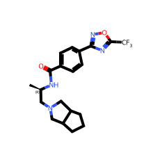 C[C@H](CN1CC2CCCC2C1)NC(=O)c1ccc(-c2noc(C(F)(F)F)n2)cc1